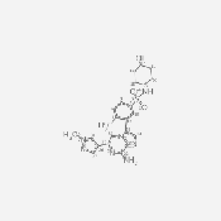 Cc1ccc(S(=O)(=O)N[C@H]2CC[C@H](O)CC2)cc1-c1cnc2c(N)nc(-c3cnn(C)c3)cn12